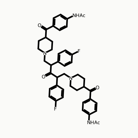 CC(=O)Nc1ccc(C(=O)C2CCN(CC(C(=O)C(CN3CCC(C(=O)c4ccc(NC(C)=O)cc4)CC3)c3ccc(F)cc3)c3ccc(F)cc3)CC2)cc1